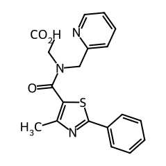 Cc1nc(-c2ccccc2)sc1C(=O)N(CC(=O)O)Cc1ccccn1